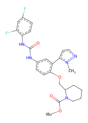 Cn1nccc1-c1cc(NC(=O)Nc2ccc(F)cc2F)ccc1OCC1CCCCN1C(=O)OC(C)(C)C